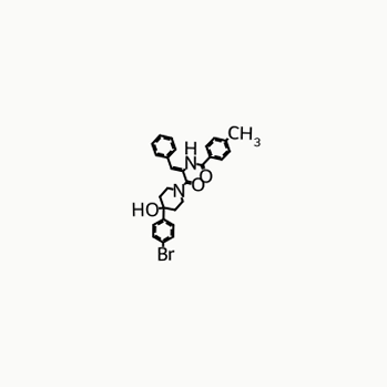 Cc1ccc(C(=O)N/C(=C\c2ccccc2)C(=O)N2CCC(O)(c3ccc(Br)cc3)CC2)cc1